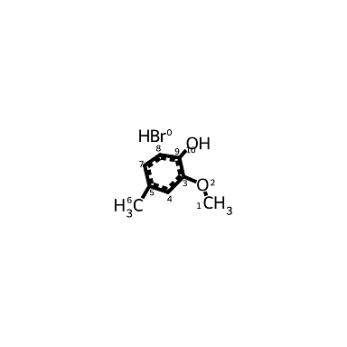 Br.COc1cc(C)ccc1O